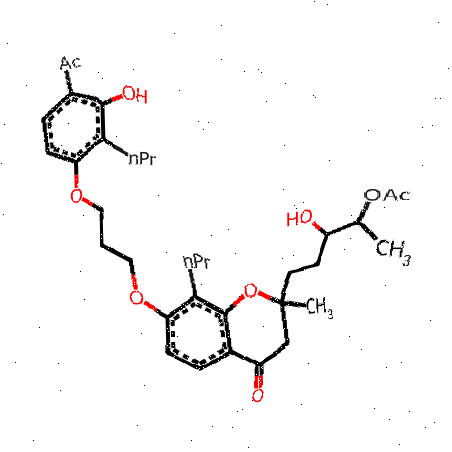 CCCc1c(OCCCOc2ccc3c(c2CCC)OC(C)(CCC(O)C(C)OC(C)=O)CC3=O)ccc(C(C)=O)c1O